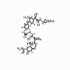 CCCCN(C(=O)Nc1cc(C(N)=O)c(F)cc1F)C1CCN(Cc2ccc(Oc3ccc(C(=O)NCCOC)cc3C)nc2)CC1